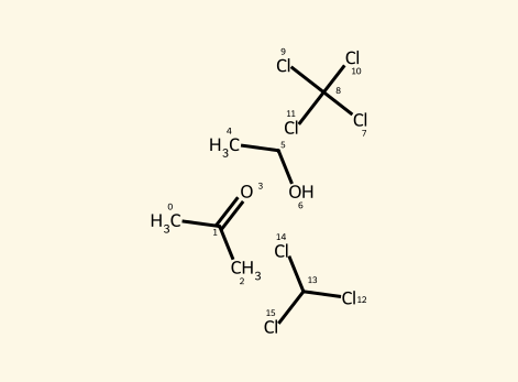 CC(C)=O.CCO.ClC(Cl)(Cl)Cl.ClC(Cl)Cl